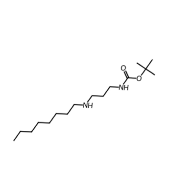 CCCCCCCCNCCCNC(=O)OC(C)(C)C